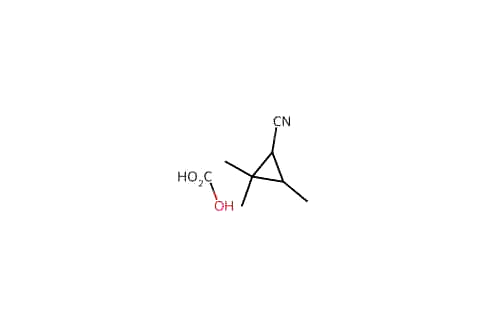 CC1C(C#N)C1(C)C.O=C(O)O